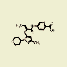 C/C=C(\Sc1cc(C)nn1C1CCOCC1)C(=O)Nc1ccc(C(=O)O)nc1